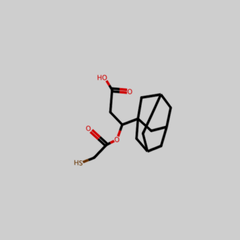 O=C(O)CC(OC(=O)CS)C12CC3CC(CC(C3)C1)C2